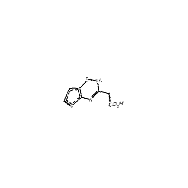 O=C(O)CC1=Nc2sccc2SN1